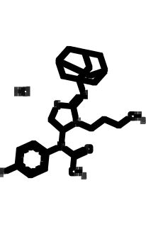 CCCCN1C(=NC23CC4CC(CC(C4)C2)C3)SCC1N(C(C)=O)c1ccc(F)cc1.Cl